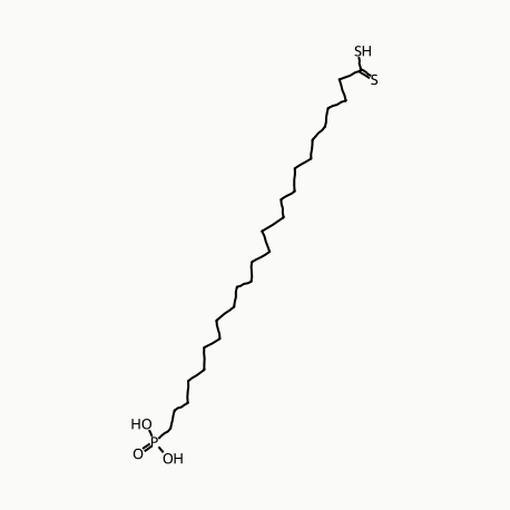 O=P(O)(O)CCCCCCCCCCCCCCCCCCCCCCCCC(=S)S